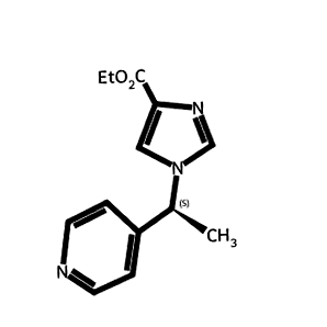 CCOC(=O)c1cn([C@@H](C)c2ccncc2)cn1